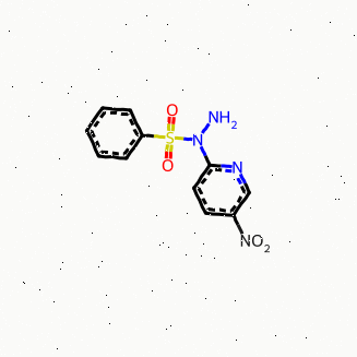 NN(c1ccc([N+](=O)[O-])cn1)S(=O)(=O)c1ccccc1